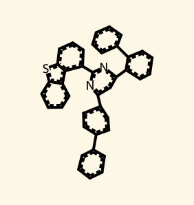 c1ccc(-c2ccc(-c3cc(-c4ccccc4-c4ccccc4)nc(-c4cccc5sc6ccccc6c45)n3)cc2)cc1